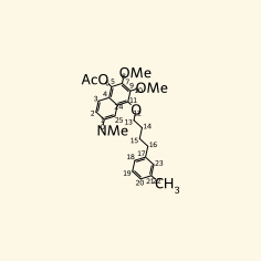 CNc1ccc2c(OC(C)=O)c(OC)c(OC)c(OCCCCc3cccc(C)c3)c2c1